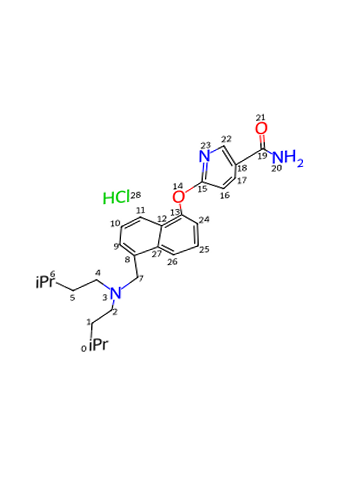 CC(C)CCN(CCC(C)C)Cc1cccc2c(Oc3ccc(C(N)=O)cn3)cccc12.Cl